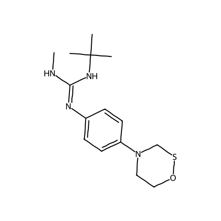 CNC(=Nc1ccc(N2CCOSC2)cc1)NC(C)(C)C